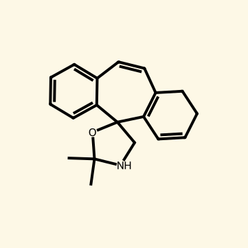 CC1(C)NCC2(O1)C1=C(C=Cc3ccccc32)CCC=C1